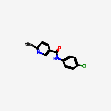 CC(C)(C)c1ccc(C(=O)Nc2ccc(Cl)cc2)cn1